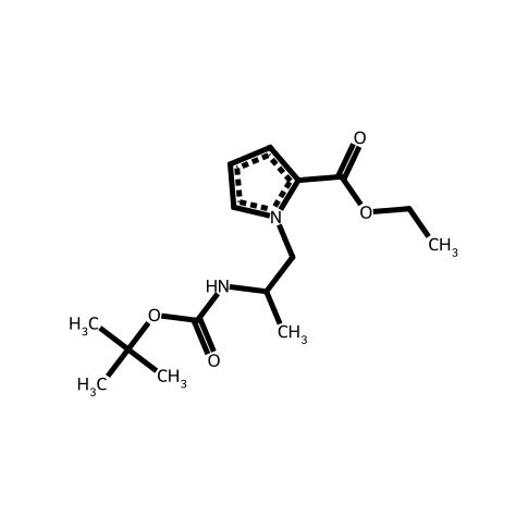 CCOC(=O)c1cccn1CC(C)NC(=O)OC(C)(C)C